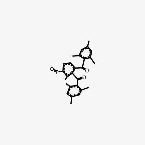 Cc1cc(C)c(C(=O)c2ccc(P=O)c(C)c2C(=O)c2c(C)cc(C)cc2C)c(C)c1